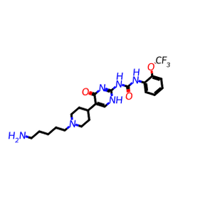 NCCCCCN1CCC(c2c[nH]c(NC(=O)Nc3ccccc3OC(F)(F)F)nc2=O)CC1